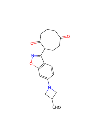 O=CC1CN(c2ccc3c(C4CCC(=O)CCCC4=O)noc3c2)C1